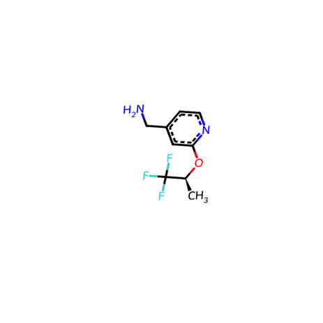 C[C@H](Oc1cc(CN)ccn1)C(F)(F)F